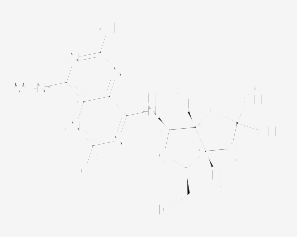 CNc1nc(Cl)nc2c(N[C@@H]3O[C@H](CO)[C@H]4OC(C)(C)O[C@H]43)nc(Cl)nc12